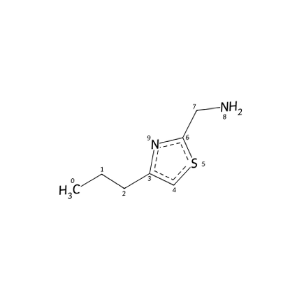 CCCc1csc(CN)n1